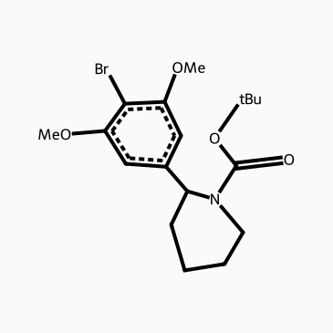 COc1cc(C2CCCCN2C(=O)OC(C)(C)C)cc(OC)c1Br